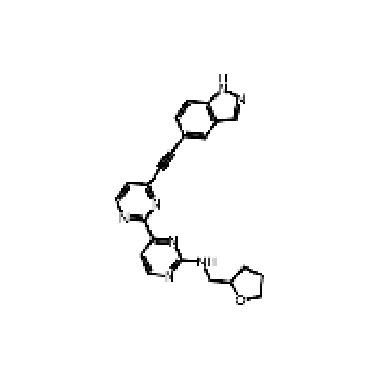 C(#Cc1ccnc(-c2ccnc(NCC3CCCO3)n2)n1)c1ccc2[nH]ncc2c1